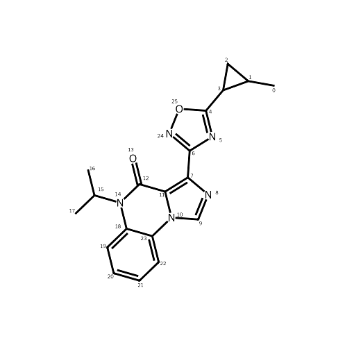 CC1CC1c1nc(-c2ncn3c2c(=O)n(C(C)C)c2ccccc23)no1